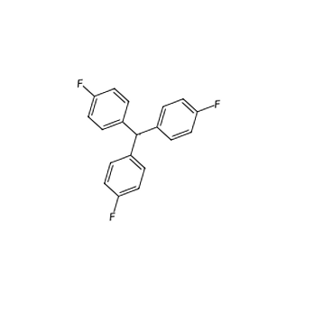 Fc1ccc([C](c2ccc(F)cc2)c2ccc(F)cc2)cc1